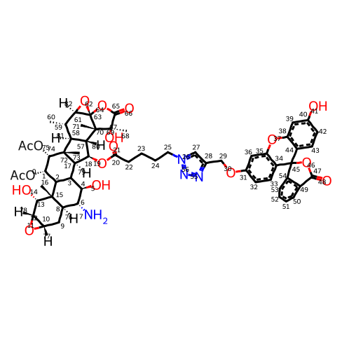 CC(=O)O[C@H]1C2C([C@@H](O)[C@H](N)[C@H]3C[C@@H]4O[C@@H]4[C@H](O)[C@]23C)[C@@H]2[C@H](OC(=O)CCCCn3cc(COc4ccc5c(c4)Oc4cc(O)ccc4C54OC(=O)c5ccccc54)nn3)[C@@H]3[C@H]([C@H](C)[C@H]4O[C@]45OC(=O)[C@@](C)(O)[C@]35C)[C@@]2(C)[C@H]1OC(C)=O